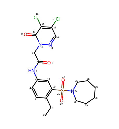 CCc1ccc(NC(=O)Cn2ncc(Cl)c(Cl)c2=O)cc1S(=O)(=O)N1CCCCCC1